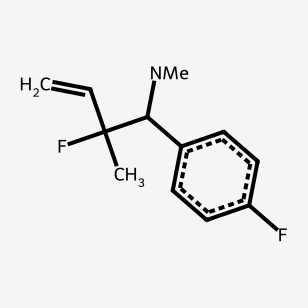 C=CC(C)(F)C(NC)c1ccc(F)cc1